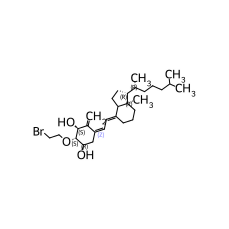 C=C1/C(=C\C=C2CCC[C@@]3(C)C2CC[C@@H]3[C@H](C)CCCC(C)C)C[C@@H](O)[C@H](OCCBr)[C@H]1O